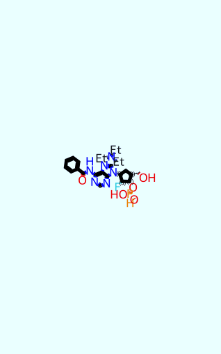 CCN(CC)CC.O=C(Nc1ncnc2c1ncn2[C@@H]1C[C@H](CO)[C@@H](O[PH](=O)O)[C@H]1F)c1ccccc1